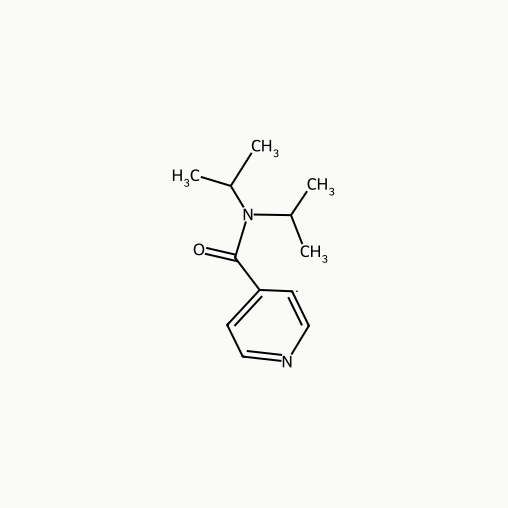 CC(C)N(C(=O)c1[c]cncc1)C(C)C